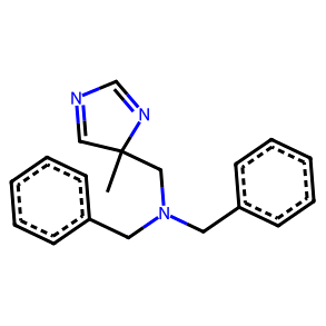 CC1(CN(Cc2ccccc2)Cc2ccccc2)C=NC=N1